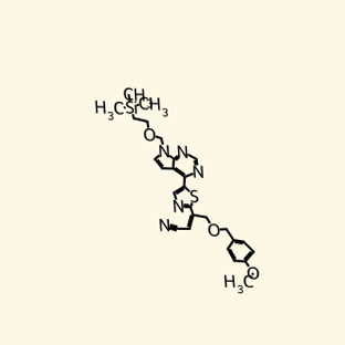 COc1ccc(COC/C(=C/C#N)c2ncc(-c3ncnc4c3ccn4COCC[Si](C)(C)C)s2)cc1